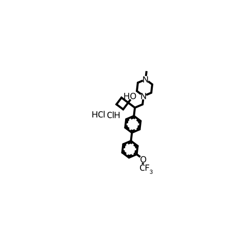 CN1CCN(CC(c2ccc(-c3cccc(OC(F)(F)F)c3)cc2)C2(O)CCC2)CC1.Cl.Cl